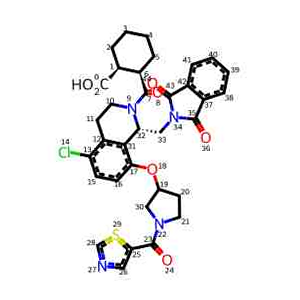 O=C(O)[C@H]1CCCC[C@H]1C(=O)N1CCc2c(Cl)ccc(OC3CCN(C(=O)c4cncs4)C3)c2[C@H]1CN1C(=O)c2ccccc2C1=O